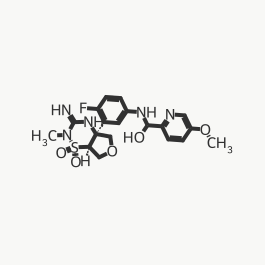 COc1ccc(C(O)Nc2ccc(F)c([C@]34COC[C@H]3S(=O)(=O)N(C)C(=N)N4)c2)nc1